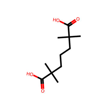 CC(C)(CCCC(C)(C)C(=O)O)C(=O)O